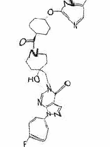 Cc1cncc(O[C@H]2CC[C@H](C(=O)N3CCC(O)(Cn4cnc5c(cnn5-c5ccc(F)cc5)c4=O)CC3)CC2)n1